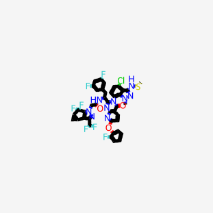 CSNc1nn(C)c2c(-n3c(C(Cc4cc(F)cc(F)c4)NC(=O)Cn4nc(C(F)F)c5c4C(F)(F)C4CC54)nc4nc(Oc5ccccc5F)ccc4c3=O)ccc(Cl)c12